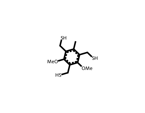 COc1c(CS)c(C)c(CS)c(OC)c1CS